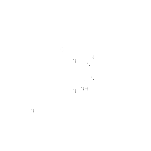 N#Cc1ccc(C=NNc2cc(N3CCOCC3)n3nc(-c4ccccc4)cc3n2)cc1